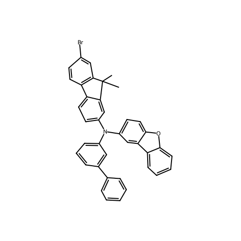 CC1(C)c2cc(Br)ccc2-c2ccc(N(c3cccc(-c4ccccc4)c3)c3ccc4oc5ccccc5c4c3)cc21